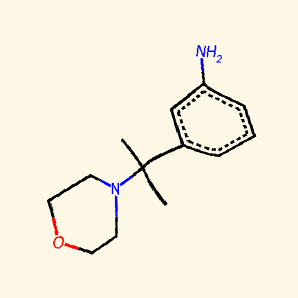 CC(C)(c1cccc(N)c1)N1CCOCC1